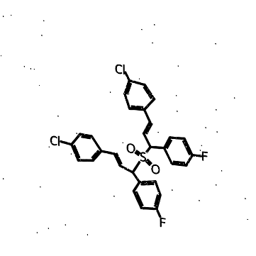 O=S(=O)(C(C=Cc1ccc(Cl)cc1)c1ccc(F)cc1)C(C=Cc1ccc(Cl)cc1)c1ccc(F)cc1